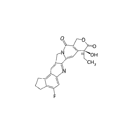 CC[C@@]1(O)C(=O)OCc2c1cc1n(c2=O)Cc2cc3c4c(c(F)cc3nc2-1)CCC4